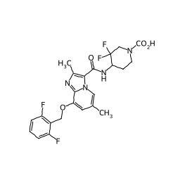 Cc1cc(OCc2c(F)cccc2F)c2nc(C)c(C(=O)NC3CCN(C(=O)O)CC3(F)F)n2c1